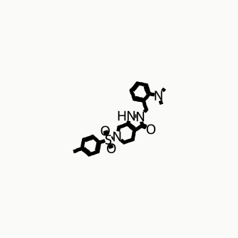 Cc1ccc(S(=O)(=O)N2CCc3c([nH]n(Cc4ccccc4N(C)C)c3=O)C2)cc1